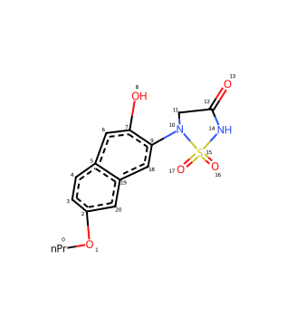 CCCOc1ccc2cc(O)c(N3CC(=O)NS3(=O)=O)cc2c1